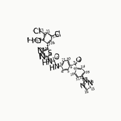 O=C(Nc1ccc(C(=O)c2ccc(-n3nccn3)cc2)cc1)Nc1nnc(-c2cc(Cl)cc(Cl)c2O)s1